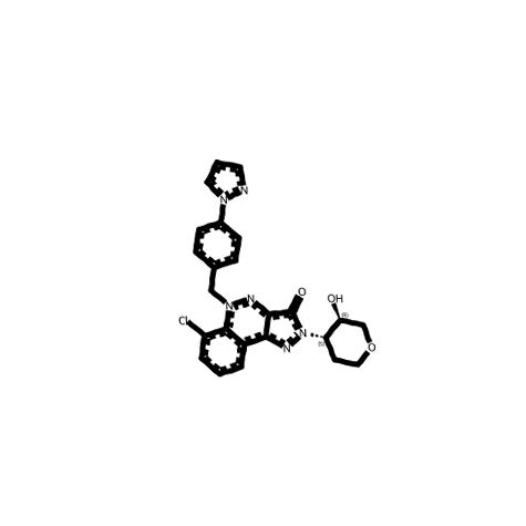 O=c1c2nn(Cc3ccc(-n4cccn4)cc3)c3c(Cl)cccc3c-2nn1[C@H]1CCOC[C@@H]1O